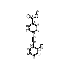 COC(=O)c1ccc(C#Cc2ccccc2F)cc1